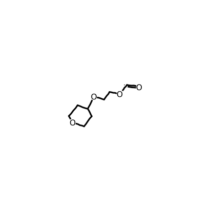 O=[C]OCCOC1CCOCC1